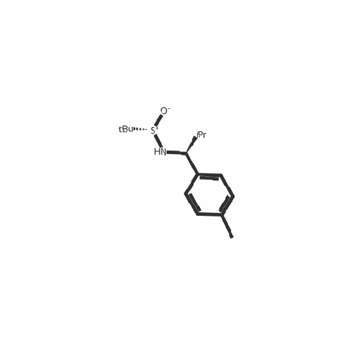 Cc1ccc([C@@H](N[S@@+]([O-])C(C)(C)C)C(C)C)cc1